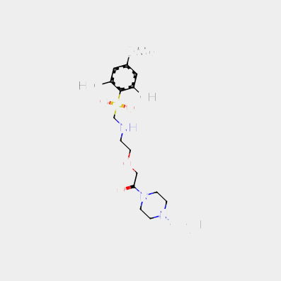 COc1cc(C)c(S(=O)(=O)CNCCOCC(=O)N2CCN(C(=O)O)CC2)c(C)c1